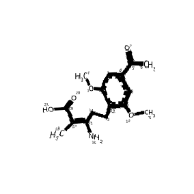 COc1cc(C(C)=O)cc(OC)c1CCC(N)=C(C)C(=O)O